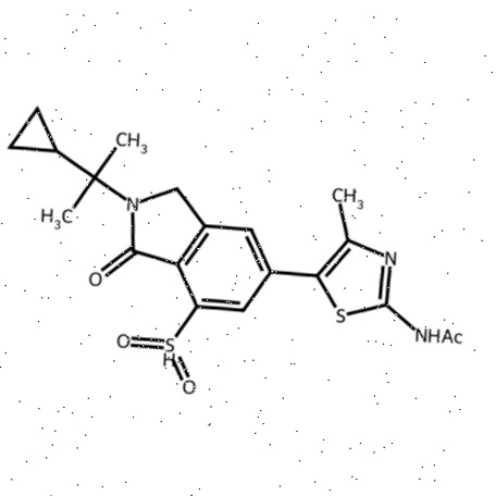 CC(=O)Nc1nc(C)c(-c2cc3c(c([SH](=O)=O)c2)C(=O)N(C(C)(C)C2CC2)C3)s1